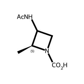 CC(=O)NC1CN(C(=O)O)[C@H]1C